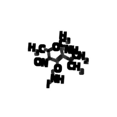 C=C(C)C1=C(OCNI)C(N=O)C(C)O[C@@]1(C)N